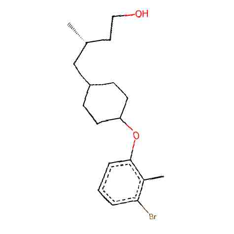 Cc1c(Br)cccc1OC1CCC(C[C@H](C)CCO)CC1